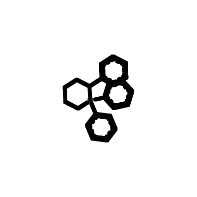 c1ccc(C2CCCC[N+]2(c2ccccc2)c2ccccc2)cc1